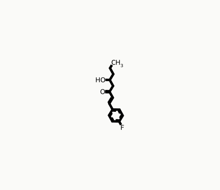 CCCC(O)CC(=O)/C=C/c1ccc(F)cc1